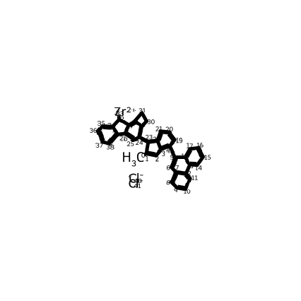 CC1=Cc2c(-c3cc4ccccc4c4ccccc34)cccc2C1c1cc2c(c3c1CC3)[CH]([Zr+2])c1ccccc1-2.[Cl-].[Cl-]